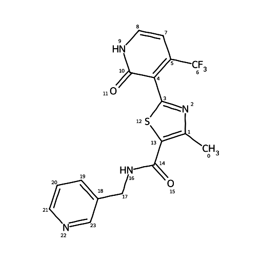 Cc1nc(-c2c(C(F)(F)F)cc[nH]c2=O)sc1C(=O)NCc1cccnc1